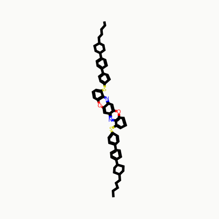 CCCCCC1CCC(c2ccc(-c3ccc(Sc4cccc5c4N=c4cc6c(cc4O5)=Nc4c(cccc4Sc4ccc(-c5ccc(C7CCC(CCCCC)CC7)cc5)cc4)O6)cc3)cc2)CC1